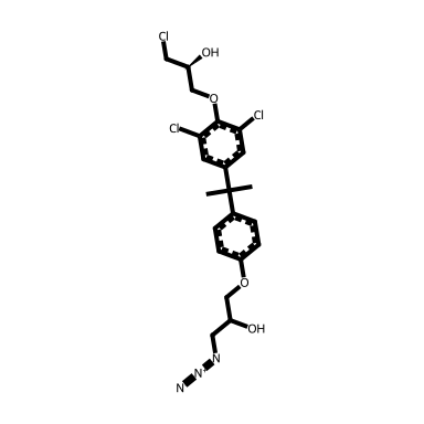 CC(C)(c1ccc(OCC(O)CN=[N+]=[N-])cc1)c1cc(Cl)c(OC[C@H](O)CCl)c(Cl)c1